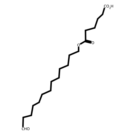 O=CCCCCCCCCCCCCOC(=O)CCCCC(=O)O